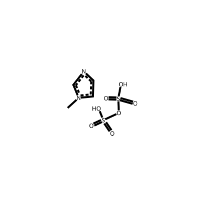 Cn1ccnc1.O=S(=O)(O)OS(=O)(=O)O